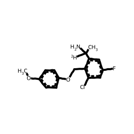 [2H]C(C)(N)c1cc(F)cc(Cl)c1COc1ccc(OC)cc1